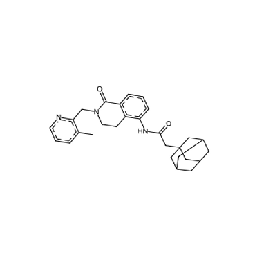 Cc1cccnc1CN1CCc2c(NC(=O)CC34CC5CC(CC(C5)C3)C4)cccc2C1=O